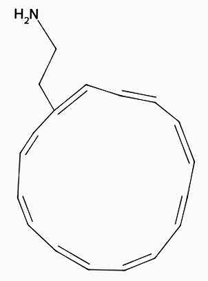 NCCC1=C/C=C\C=C/C=C\C=C/C=C\C=C/C=C\1